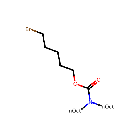 CCCCCCCCN(CCCCCCCC)C(=O)OCCCCCBr